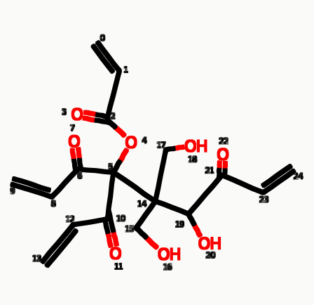 C=CC(=O)OC(C(=O)C=C)(C(=O)C=C)C(CO)(CO)C(O)C(=O)C=C